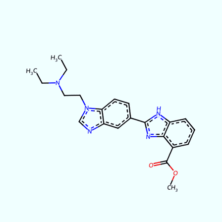 CCN(CC)CCn1cnc2cc(-c3nc4c(C(=O)OC)cccc4[nH]3)ccc21